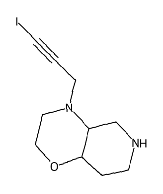 IC#CCN1CCOC2CCNCC21